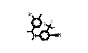 Cc1ccc(C(C)N(C)c2ccc(C#N)c(C(F)(F)F)c2)cc1Br